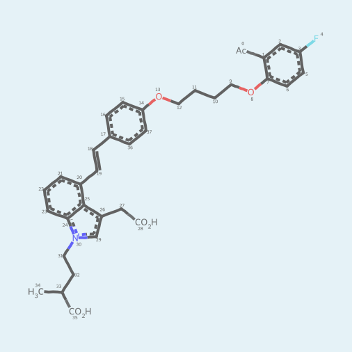 CC(=O)c1cc(F)ccc1OCCCCOc1ccc(C=Cc2cccc3c2c(CC(=O)O)cn3CCC(C)C(=O)O)cc1